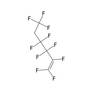 FC(F)=C(F)C(F)(F)C(F)(F)CC(F)(F)F